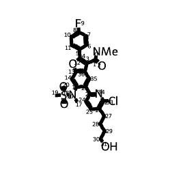 CNC(=O)c1c(-c2ccc(F)cc2)oc2cc(N(C)S(C)(=O)=O)c(-c3ccc(CCCCO)c(Cl)n3)cc12